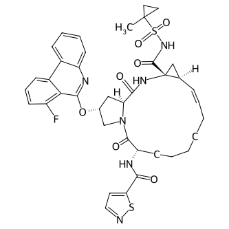 CC1(S(=O)(=O)NC(=O)[C@@]23C[C@H]2/C=C\CCCCC[C@H](NC(=O)c2ccns2)C(=O)N2C[C@H](Oc4nc5ccccc5c5cccc(F)c45)C[C@H]2C(=O)N3)CC1